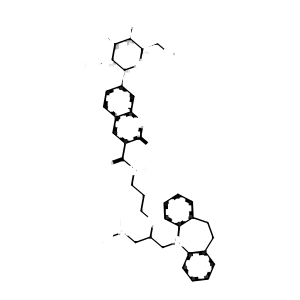 CNCC(CN1c2ccccc2CCc2ccccc21)OCCCNC(=O)c1cc2ccc([C@@H]3O[C@H](CO)[C@H](O)[C@H](O)[C@H]3O)cc2oc1=O